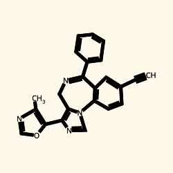 C#Cc1ccc2c(c1)C(c1ccccc1)=NCc1c(-c3ocnc3C)ncn1-2